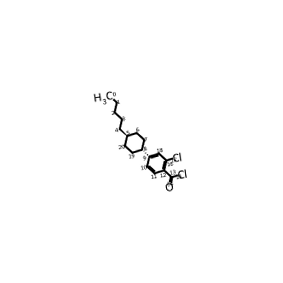 CCCCC[C@H]1CC[C@H](c2ccc(C(=O)Cl)c(Cl)c2)CC1